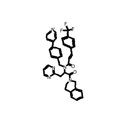 O=C(C(Cc1ncccn1)N(Cc1ccc(-c2ccncc2)cc1)C(=O)C=Cc1ccc(C(F)(F)F)cc1)N1CCc2ccccc2C1